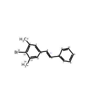 Cc1cc(/C=C/c2ccccc2)cc(C)c1Br